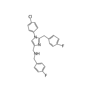 Fc1ccc(CNCc2cn(-c3ccc(Cl)cc3)c(Cc3ccc(F)cc3)n2)cc1